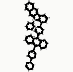 c1ccc(-c2ccc(-c3c4ccccc4c(-c4ccc(-c5cccc6c7cc8ccccc8cc7n(-c7ccccc7)c56)nc4)c4ccccc34)cc2)cc1